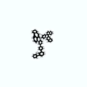 c1ccc2cc(-c3c(-c4ccc(N(c5ccc(-c6ccc(-c7cccc8c7oc7ccccc78)cc6)cc5)c5cc6ccccc6c6ccccc56)cc4)ccc4ccccc34)ccc2c1